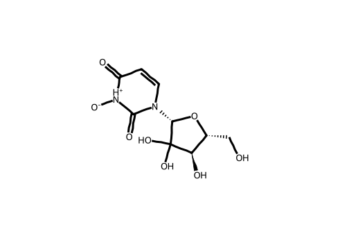 O=C1C=CN([C@@H]2O[C@H](CO)[C@@H](O)C2(O)O)C(=O)[NH+]1[O-]